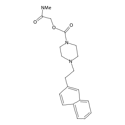 CNC(=O)COC(=O)N1CCN(CCc2ccc3ccccc3c2)CC1